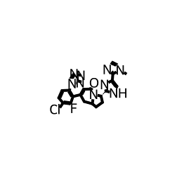 Cn1ccnc1-c1c[nH]c([C@@H]2CCC3CC(c4c(-n5cnnn5)ccc(Cl)c4F)=CC(=O)N32)n1